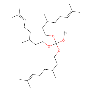 CCOC(OCCC(C)CCC=C(C)C)(OCCC(C)CCC=C(C)C)OCCC(C)CCC=C(C)C